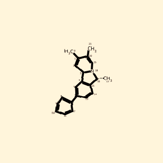 CC1=CC2c3cc(-c4ccccc4)ccc3[C@@H](C)N2C=C1C